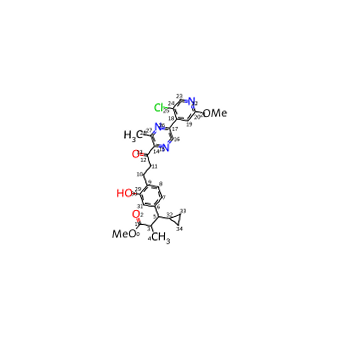 COC(=O)C(C)C(c1ccc(CCC(=O)c2ncc(-c3cc(OC)ncc3Cl)nc2C)c(O)c1)C1CC1